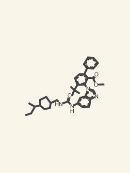 CCC(C)C1CCC(CNC(=O)Nc2ccc3ncn(-c4c(C(C)(C)C)ccc(-c5ccccc5)c4C(=O)OC)c3c2)CC1